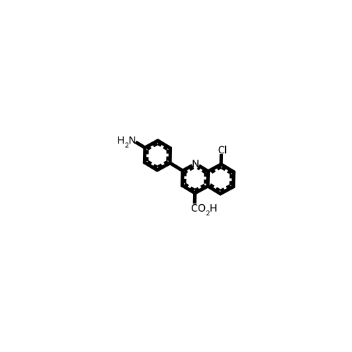 Nc1ccc(-c2cc(C(=O)O)c3cccc(Cl)c3n2)cc1